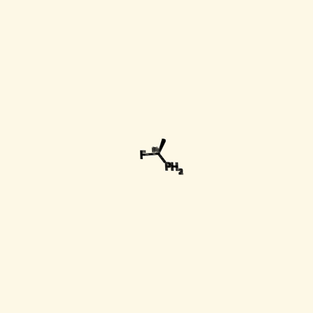 C[C@H](F)P